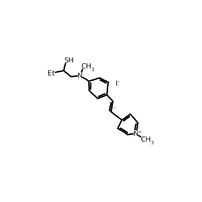 CCC(S)CN(C)c1ccc(/C=C/c2cc[n+](C)cc2)cc1.[I-]